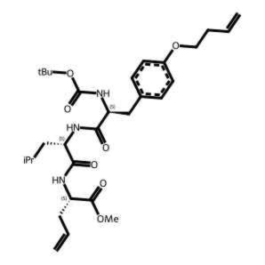 C=CCCOc1ccc(C[C@H](NC(=O)OC(C)(C)C)C(=O)N[C@@H](CC(C)C)C(=O)N[C@@H](CC=C)C(=O)OC)cc1